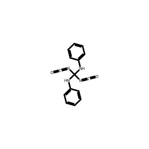 O=C=NC(N=C=O)(Nc1ccccc1)Nc1ccccc1